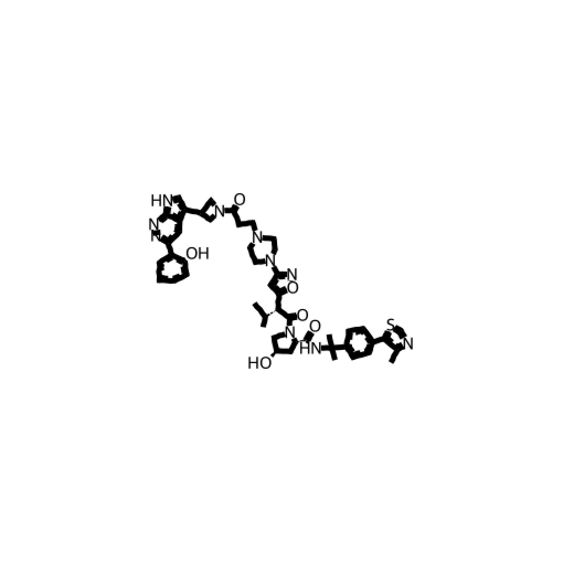 Cc1ncsc1-c1ccc(C(C)(C)NC(=O)[C@@H]2C[C@@H](O)CN2C(=O)[C@@H](c2cc(N3CCN(CCC(=O)N4CC(c5c[nH]c6nnc(-c7ccccc7O)cc56)C4)CC3)no2)C(C)C)cc1